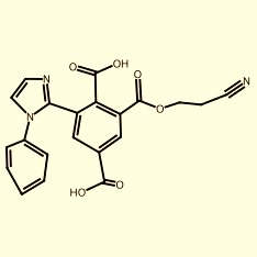 N#CCCOC(=O)c1cc(C(=O)O)cc(-c2nccn2-c2ccccc2)c1C(=O)O